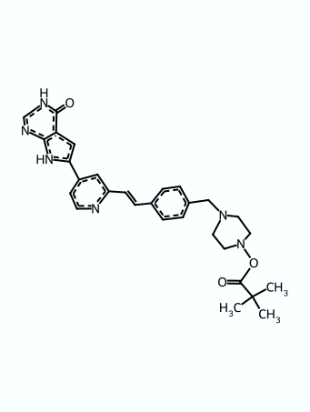 CC(C)(C)C(=O)ON1CCN(Cc2ccc(/C=C/c3cc(-c4cc5c(=O)[nH]cnc5[nH]4)ccn3)cc2)CC1